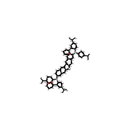 CC(C)c1ccc(N(c2ccc3cc4c(cc3c2)oc2cc3cc(N(c5ccc(C(C)C)cc5)c5ccc(C(C)C)cc5-c5ccccc5)ccc3cc24)c2ccc(C(C)C)cc2-c2ccccc2)cc1